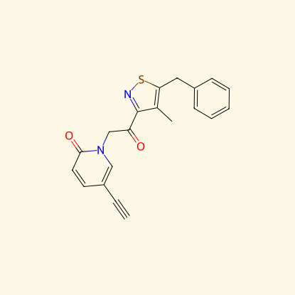 C#Cc1ccc(=O)n(CC(=O)c2nsc(Cc3ccccc3)c2C)c1